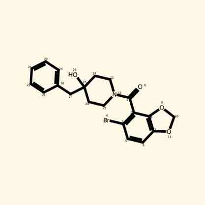 O=C(c1c(Br)ccc2c1OCO2)N1CCC(O)(Cc2ccccc2)CC1